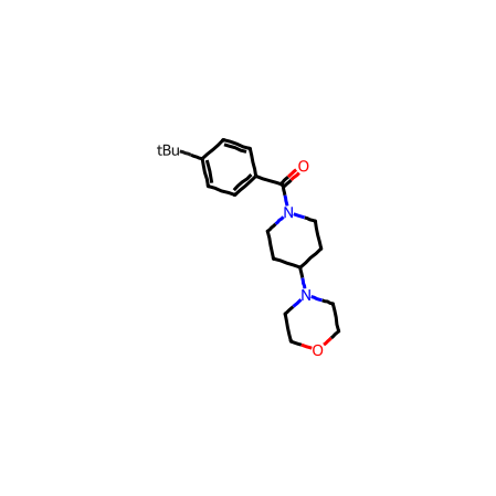 CC(C)(C)c1ccc(C(=O)N2CCC(N3CCOCC3)CC2)cc1